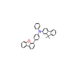 CC1(C)c2ccccc2-c2ccc(N(c3ccccc3)c3ccc(-c4cccc5c4oc4ccccc45)cc3)cc21